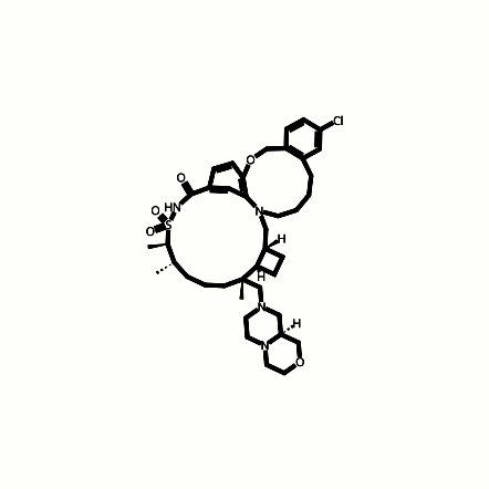 C[C@@H]1[C@@H](C)CCC[C@@](C)(CN2CCN3CCOC[C@@H]3C2)[C@@H]2CC[C@H]2CN2CCCCc3cc(Cl)ccc3COc3ccc(cc32)C(=O)NS1(=O)=O